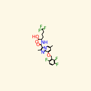 Cc1cc(OCc2c(F)ccc(F)c2F)c2nc(C)c(C(=O)NC(CCCC(F)(F)F)C(=O)O)n2c1